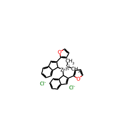 C[Si](C)=[Zr+2]([CH]1C(c2ccco2)=Cc2ccccc21)[CH]1C(c2ccco2)=Cc2ccccc21.[Cl-].[Cl-]